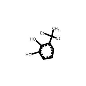 CCC(C)(CC)c1cccc(O)c1O